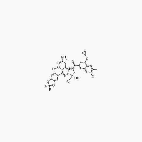 CCOc1c(CC(N)=O)cc([C@@](O)(CNC(=O)c2cc(OC3CC3)c3nc(C)c(Cl)cc3c2)C2CC2)nc1-c1ccc2c(c1)OC(F)(F)O2